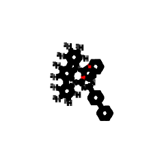 [2H]c1c([2H])c([2H])c2c(c1[2H])c1c([2H])c([2H])c3c4c([2H])c([2H])c([2H])c([2H])c4n(-c4nc(-c5ccccc5)nc(-c5ccc(-c6ccccc6)cc5)n4)c3c1n2-c1ccccc1